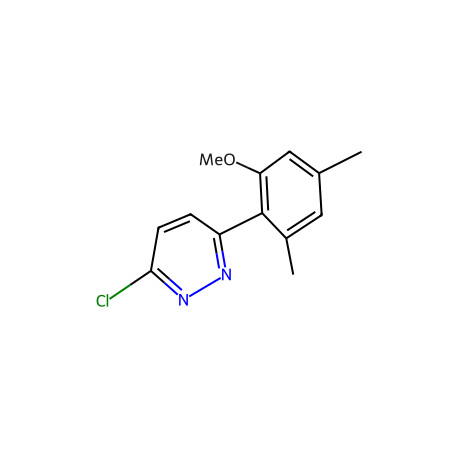 COc1cc(C)cc(C)c1-c1ccc(Cl)nn1